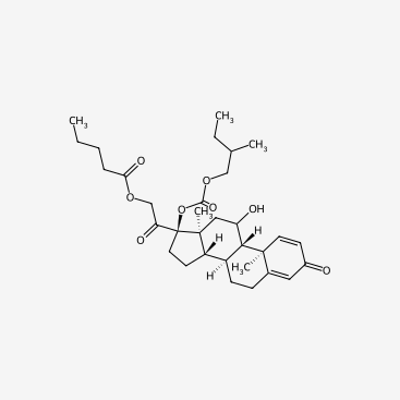 CCCCC(=O)OCC(=O)[C@@]1(OC(=O)OCC(C)CC)CC[C@H]2[C@@H]3CCC4=CC(=O)C=C[C@]4(C)[C@H]3C(O)C[C@@]21C